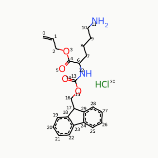 C=CCOC(=O)C(CCCCN)NC(=O)OCC1c2ccccc2-c2ccccc21.Cl